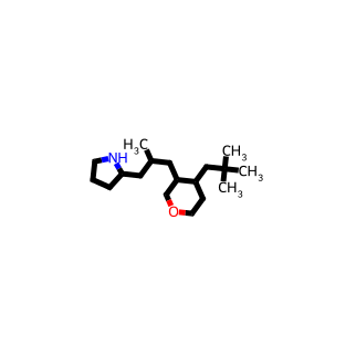 CC(CC1CCCN1)CC1COCCC1CC(C)(C)C